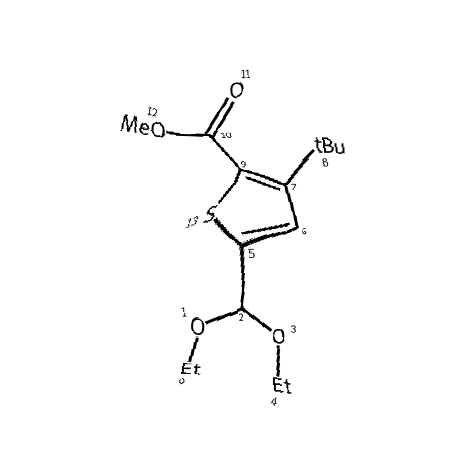 CCOC(OCC)c1cc(C(C)(C)C)c(C(=O)OC)s1